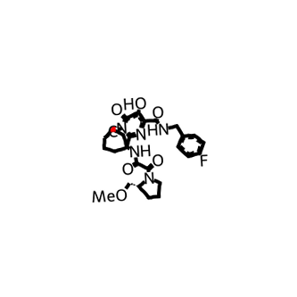 COC[C@H]1CCCN1C(=O)C(=O)NC12CCC(CC1)Cn1c2nc(C(=O)NCc2ccc(F)cc2)c(O)c1=O